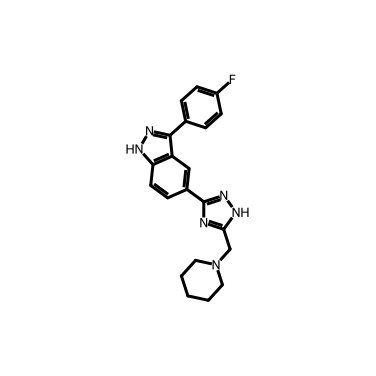 Fc1ccc(-c2n[nH]c3ccc(-c4n[nH]c(CN5CCCCC5)n4)cc23)cc1